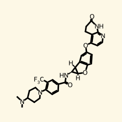 CN(C)C1CCN(c2ccc(C(=O)N[C@@H]3[C@H]4Oc5ccc(Oc6ccnc7c6CCC(=O)N7)cc5[C@@H]34)cc2C(F)(F)F)CC1